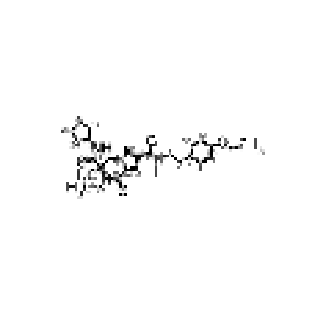 CCOc1ccc(CCNC(=O)c2cc3n(n2)CC(C)(C(=O)NC2CCCC2)N(CC)C3=O)cc1